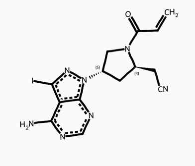 C=CC(=O)N1C[C@@H](n2nc(I)c3c(N)ncnc32)C[C@@H]1CC#N